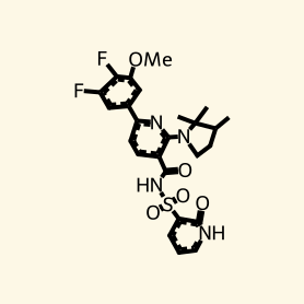 COc1cc(-c2ccc(C(=O)NS(=O)(=O)c3ccc[nH]c3=O)c(N3CCC(C)C3(C)C)n2)cc(F)c1F